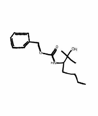 CCCCC(NC(=O)OCc1ccccc1)C(C)(C)O